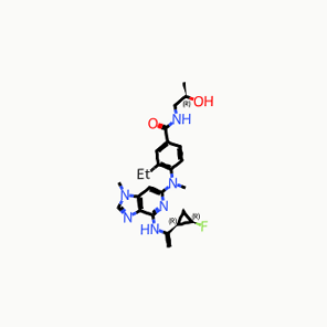 C=C(Nc1nc(N(C)c2ccc(C(=O)NC[C@@H](C)O)cc2CC)cc2c1ncn2C)[C@H]1C[C@H]1F